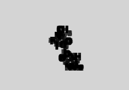 CN/C=C(\C(=N)C(F)F)C(=O)OCCOC(=O)c1cn(C)nc1C(F)F